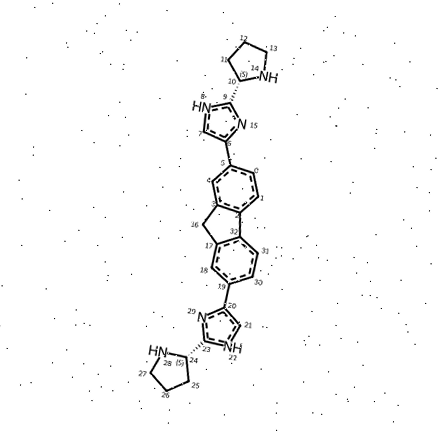 c1cc2c(cc1-c1c[nH]c([C@@H]3CCCN3)n1)Cc1cc(-c3c[nH]c([C@@H]4CCCN4)n3)ccc1-2